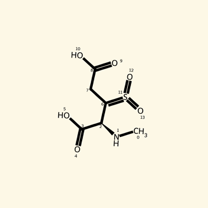 CN[C@@H](C(=O)O)C(CC(=O)O)=S(=O)=O